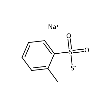 Cc1ccccc1S(=O)(=O)[S-].[Na+]